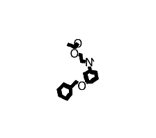 CC(=O)OCCN(C)c1cccc(OCc2ccccc2)c1